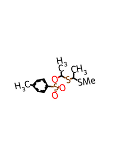 CSC(C)SC(C)OS(=O)(=O)c1ccc(C)cc1